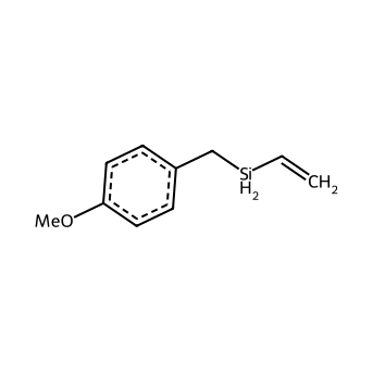 C=C[SiH2]Cc1ccc(OC)cc1